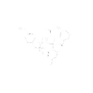 COC(=O)[C@@H]1N[C@@H](CC(C)(C)Cc2ccc(OC)cc2)[C@](C#N)(c2ccc(Cl)cc2F)[C@H]1c1cccc(Cl)c1F